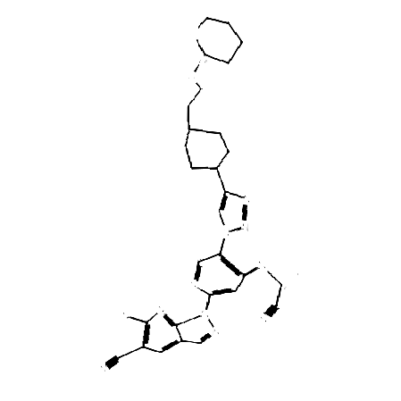 C[C@H](C#N)Nc1cc(-n2ncc3cc(C#N)c(N)nc32)ncc1-n1cc(C2CCC(CCO[C@@H]3CCCCO3)CC2)nn1